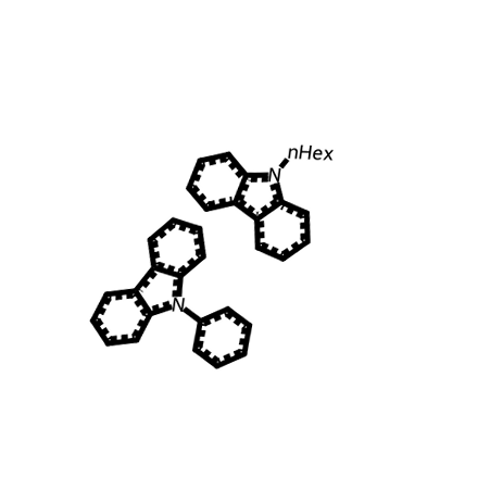 CCCCCCn1c2ccccc2c2ccccc21.c1ccc(-n2c3ccccc3c3ccccc32)cc1